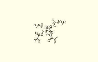 C=C(C)C(=O)OCC(CCCC)(COC(=O)C(=C)C)C(=O)OCC(C)S(=O)(=O)O.[MgH2]